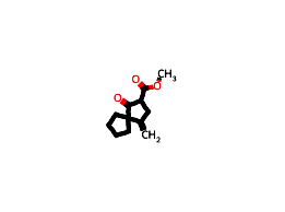 C=C1CC(C(=O)OC)C(=O)C12CCCC2